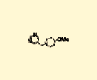 COC1CCN(Cc2cncnc2)CC1